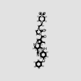 Cc1c(C(=O)N2CCN(CCN3CCS(=O)(=O)CC3)C2=O)cn2ncc(C#N)c(Nc3ccc(Oc4ccccc4)cc3)c12